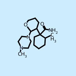 CC1CCCCC1(C(N)=O)C1CCCOC1N1CCN(C)CC1